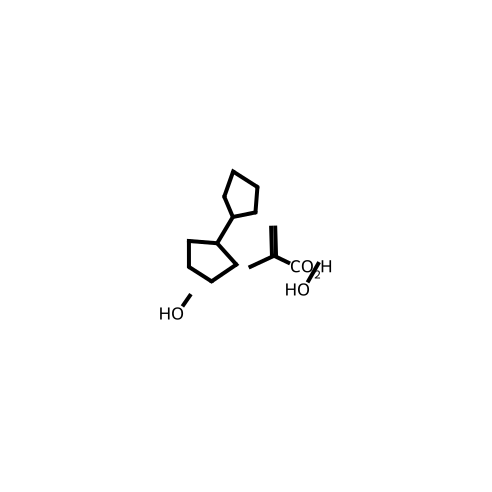 C1CCC(C2CCCC2)C1.C=C(C)C(=O)O.CO.CO